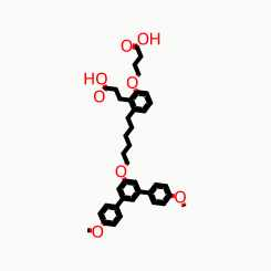 COc1ccc(-c2cc(OCCCCCCc3cccc(OCCCC(=O)O)c3CCC(=O)O)cc(-c3ccc(OC)cc3)c2)cc1